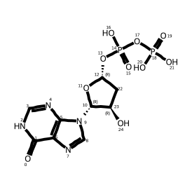 O=c1[nH]cnc2c1ncn2[C@@H]1O[C@H](OP(=O)(O)OP(=O)(O)O)C[C@H]1O